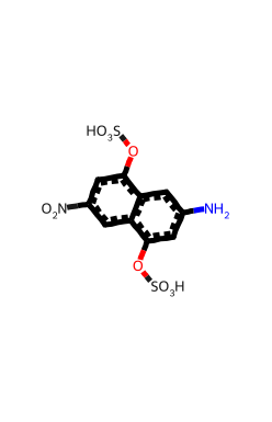 Nc1cc(OS(=O)(=O)O)c2cc([N+](=O)[O-])cc(OS(=O)(=O)O)c2c1